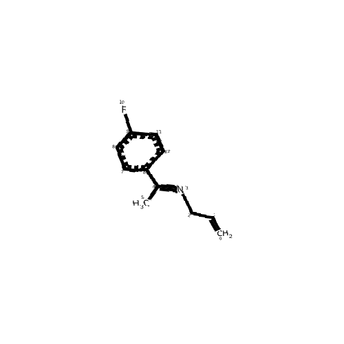 C=CCN=C(C)c1ccc(F)cc1